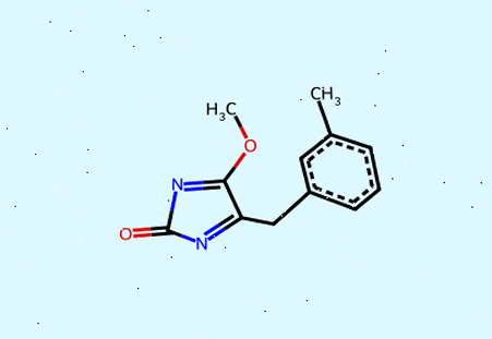 COC1=NC(=O)N=C1Cc1cccc(C)c1